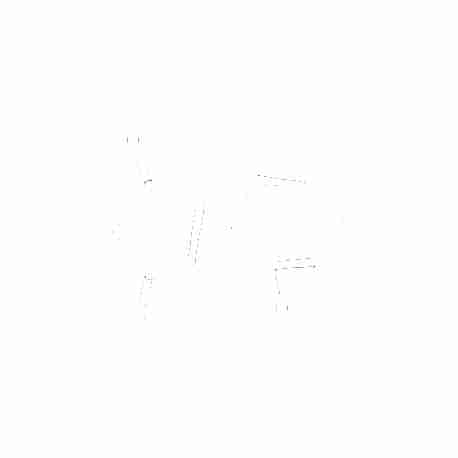 O=C1C=CC(=O)O1.c1ccc2c(c1)O2